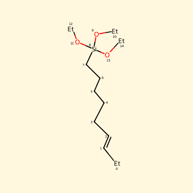 CCC=CCCCCC[Si](OCC)(OCC)OCC